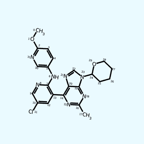 COc1ccc(Nc2ncc(Cl)cc2-c2nc(C)nc3c2ncn3C2CCCCO2)cn1